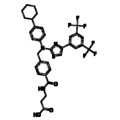 O=C(O)CCNC(=O)c1ccc(CN(c2ccc(C3CCCCC3)cc2)c2nc(-c3cc(C(F)(F)F)cc(C(F)(F)F)c3)cs2)cc1